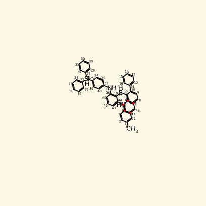 Cc1ccc(Nc2cccc(-c3ccccc3)c2Bc2c(Nc3ccc([SiH](c4ccccc4)c4ccccc4)cc3)cccc2-c2ccccc2)cc1